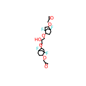 OC(COC1CC2(F)CC1(F)CCC2OCC1CO1)COC1CCC2(F)CC1(F)CC2OCC1CO1